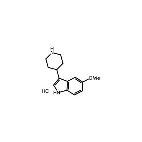 COc1ccc2[nH]cc(C3CCNCC3)c2c1.Cl